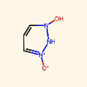 [O-][N+]1=CC=CN(O)N1